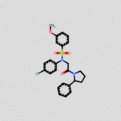 COc1cccc(S(=O)(=O)N(CC(=O)N2CCCC2c2ccccc2)c2ccc(Cl)cc2)c1